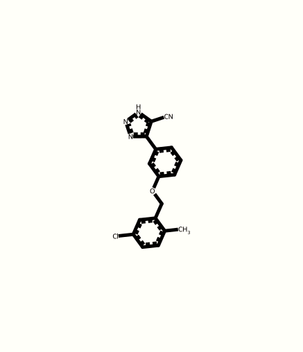 Cc1ccc(Cl)cc1COc1cccc(-c2nn[nH]c2C#N)c1